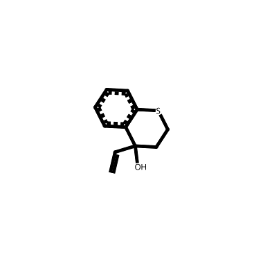 C=CC1(O)CCSc2ccccc21